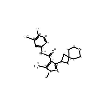 Cn1nc(C2CC3(CCOCC3)C2)c(C(=O)Nc2ccc(F)c(Cl)c2)c1N